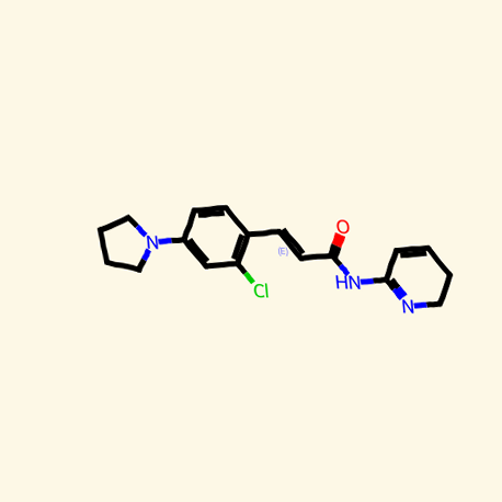 O=C(/C=C/c1ccc(N2CCCC2)cc1Cl)NC1=NCCC=C1